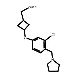 CNCC1CC(Oc2ccc(CN3CCCC3)c(Cl)c2)C1